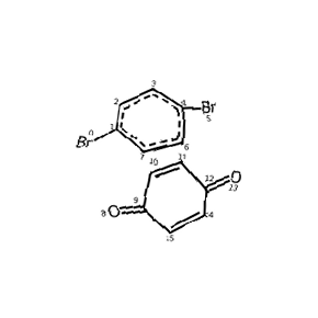 Brc1ccc(Br)cc1.O=C1C=CC(=O)C=C1